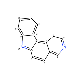 C1=NC=c2ccc3c(c2C1)-c1ccccc1N=3